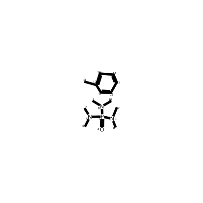 CN(C)P(=O)(N(C)C)N(C)C.Cc1ccccc1